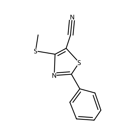 CSc1nc(-c2ccccc2)sc1C#N